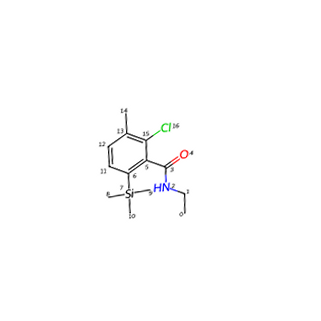 CCNC(=O)c1c([Si](C)(C)C)ccc(C)c1Cl